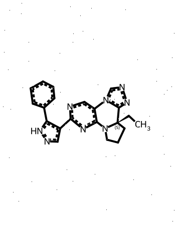 CC[C@@]12CCCN1c1nc(-c3cn[nH]c3-c3ccccc3)ncc1-n1cnnc12